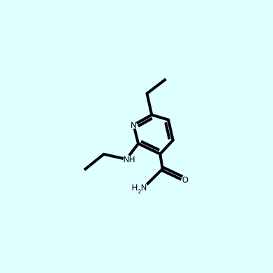 CCNc1nc(CC)ccc1C(N)=O